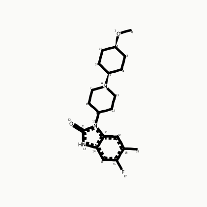 CO[C@H]1CC[C@@H](N2CCC(n3c(=O)[nH]c4cc(F)c(C)cc43)CC2)CC1